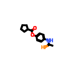 CC(=P)Nc1ccc(OC(=O)C2CCCC2)cc1